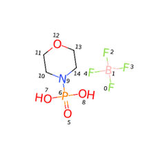 F[B-](F)(F)F.O=P(O)(O)N1CCOCC1